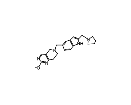 COc1ncc2c(n1)CCN(Cc1ccc3[nH]c(CN4CCCC4)cc3c1)C2